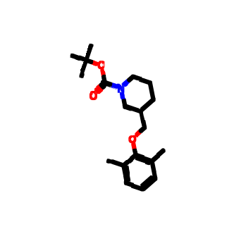 Cc1cccc(C)c1OCC1CCCN(C(=O)OC(C)(C)C)C1